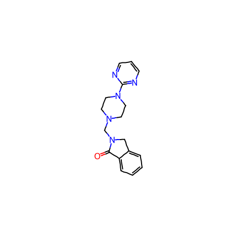 O=C1c2ccccc2CN1CN1CCN(c2ncccn2)CC1